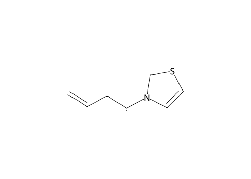 C=CC[CH]N1C=CSC1